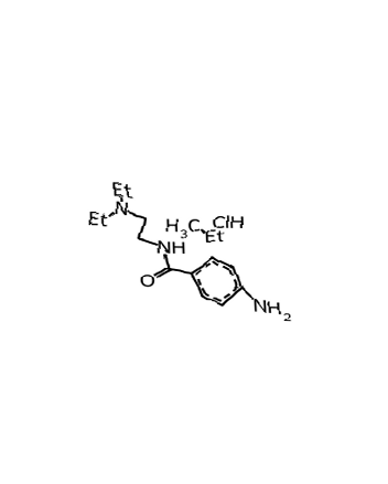 CCC.CCN(CC)CCNC(=O)c1ccc(N)cc1.Cl